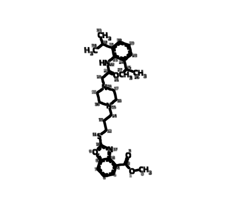 COC(=O)c1cccc2oc(SCCCN3CCN(CC(=O)Nc4c(C(C)C)cccc4C(C)C)CC3)nc12